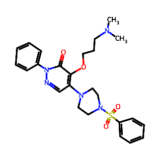 CN(C)CCCOc1c(N2CCN(S(=O)(=O)c3ccccc3)CC2)cnn(-c2ccccc2)c1=O